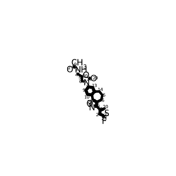 CC(=O)NCC1CN(c2ccc3c(c2)CCCc2c(-c4csc(F)c4)noc2-3)C(=O)O1